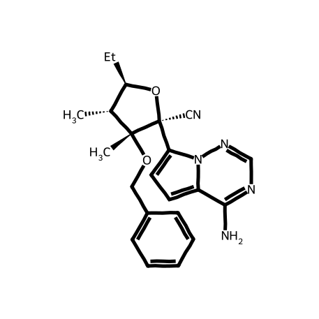 CC[C@H]1O[C@@](C#N)(c2ccc3c(N)ncnn23)[C@](C)(OCc2ccccc2)[C@@H]1C